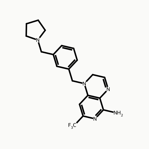 Nc1nc(C(F)(F)F)cc2c1N=CCN2Cc1cccc(CN2CCCC2)c1